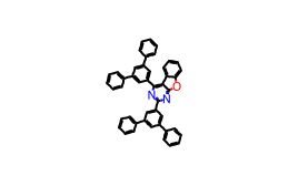 c1ccc(-c2cc(-c3ccccc3)cc(-c3nc(-c4cc(-c5ccccc5)cc(-c5ccccc5)c4)c4c(n3)oc3ccccc34)c2)cc1